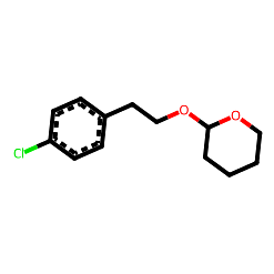 Clc1ccc(CCOC2CCCCO2)cc1